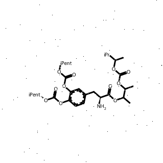 CCCC(C)OC(=O)Oc1cc(C[C@H](N)C(=O)OC(C)C(C)OC(=O)OC(C)C(C)C)ccc1OC(=O)O[C@@H](C)CCC